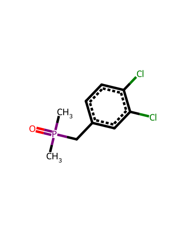 CP(C)(=O)Cc1ccc(Cl)c(Cl)c1